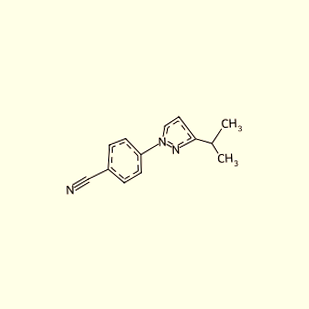 CC(C)c1ccn(-c2ccc(C#N)cc2)n1